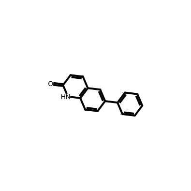 O=c1ccc2cc(-c3[c]ccc[c]3)ccc2[nH]1